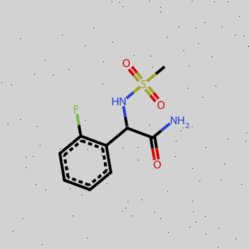 CS(=O)(=O)NC(C(N)=O)c1ccccc1F